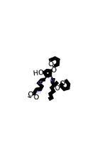 CCCCCC(C)(/C=C/[C@@H]1[C@@H](C/C=C\C/C=C/C(=O)OC)[C@@H](O)C[C@H]1OC1CCCCO1)OC1CCCCO1